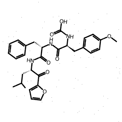 COc1ccc(C[C@H](NC(=O)O)C(=O)N[C@@H](Cc2ccccc2)C(=O)N[C@@H](CC(C)C)C(=O)c2ccco2)cc1